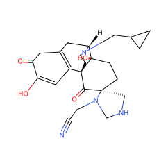 N#CCN1CNC[C@]12CC[C@@]1(O)[C@H]3CC4=C(C=C(O)C(=O)C4)[C@@]1(CCN3CC1CC1)C2=O